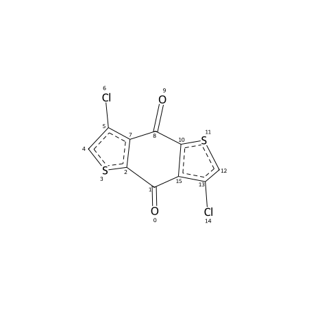 O=C1c2scc(Cl)c2C(=O)c2scc(Cl)c21